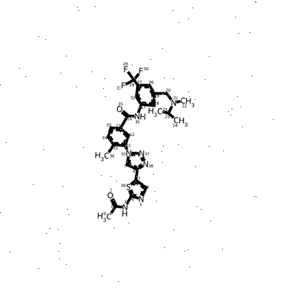 CC(=O)Nc1ncc(-c2cn(-c3cc(C(=O)Nc4cc(CN(C)C(C)C)cc(C(F)(F)F)c4)ccc3C)nn2)s1